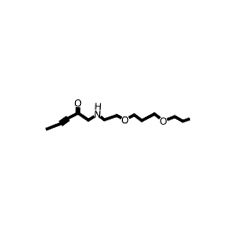 CC#CC(=O)CNCCOCCCOCCC